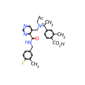 CC(=O)CN(Cc1cncnc1C(=O)NCc1ccc(F)c(C)c1)[C@@H](C)c1ccc(C(=O)O)c(C)c1